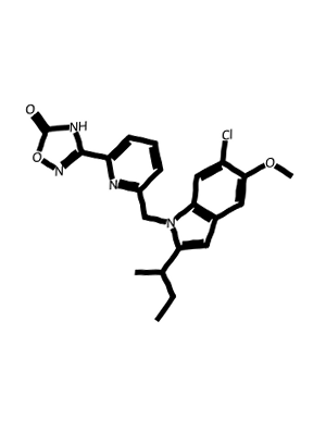 CCC(C)c1cc2cc(OC)c(Cl)cc2n1Cc1cccc(-c2noc(=O)[nH]2)n1